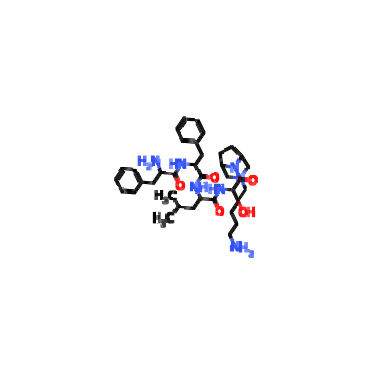 CC(C)CC(NC(=O)C(Cc1ccccc1)NC(=O)C(N)Cc1ccccc1)C(=O)NC(CCCCN)C(=O)N1C2CCC1CN(CCO)C2